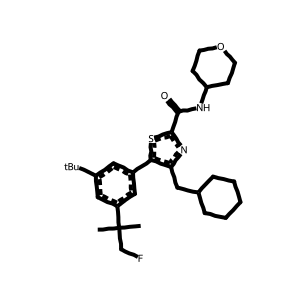 CC(C)(C)c1cc(-c2sc(C(=O)NC3CCOCC3)nc2CC2CCCCC2)cc(C(C)(C)CF)c1